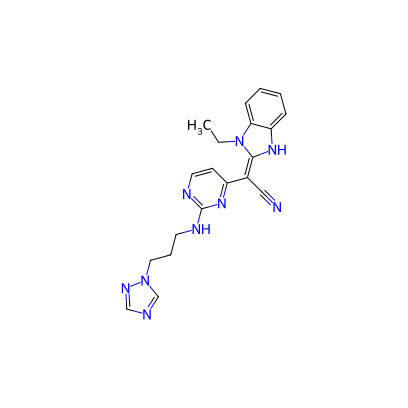 CCN1C(=C(C#N)c2ccnc(NCCCn3cncn3)n2)Nc2ccccc21